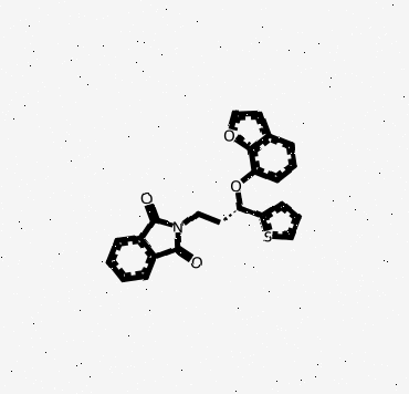 O=C1c2ccccc2C(=O)N1CC[C@H](Oc1cccc2ccoc12)c1cccs1